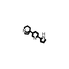 c1c[nH]c(-c2ccc(C34CCCN(CC3)C4)cn2)c1